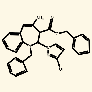 CC1=Cc2ccccc2N(Cc2ccccc2)C(n2ccc(O)n2)C1C(=O)OCc1ccccc1